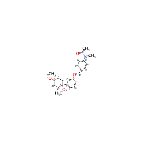 COC1CCC(OC)(c2cccc(OCc3ccc(N(C)C(C)=O)cc3)c2)CC1